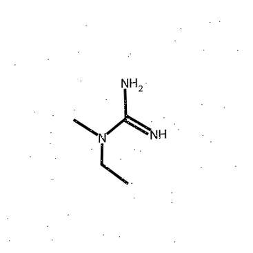 [CH2]CN(C)C(=N)N